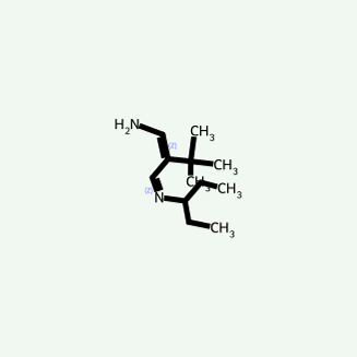 CCC(CC)/N=C\C(=C/N)C(C)(C)C